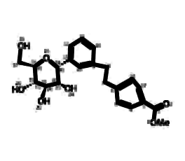 COC(=O)c1ccc(CCc2cccc([C@H]3O[C@H](CO)[C@@H](O)[C@H](O)[C@H]3O)c2)cc1